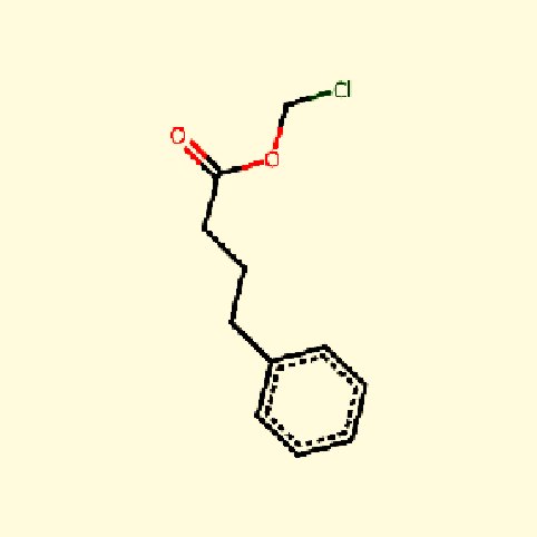 O=C(CCCc1ccccc1)OCCl